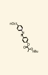 CCCCCCCCc1ccc(N=Nc2ccc(OC(=O)C(C)OCCCC)cc2)cc1